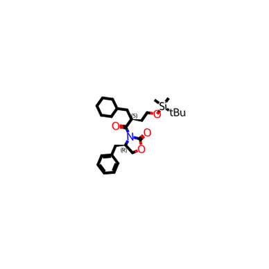 CC(C)(C)[Si](C)(C)OCC[C@H](CC1CCCCC1)C(=O)N1C(=O)OC[C@H]1Cc1ccccc1